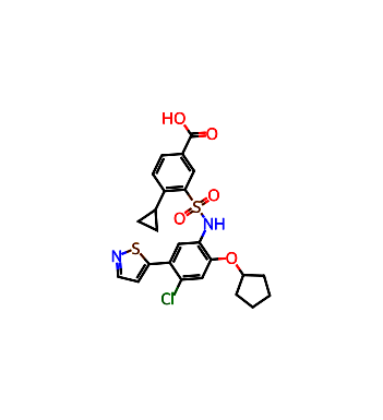 O=C(O)c1ccc(C2CC2)c(S(=O)(=O)Nc2cc(-c3ccns3)c(Cl)cc2OC2CCCC2)c1